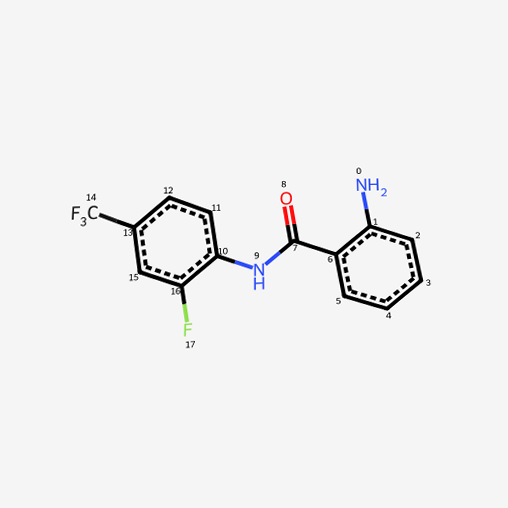 Nc1ccccc1C(=O)Nc1ccc(C(F)(F)F)cc1F